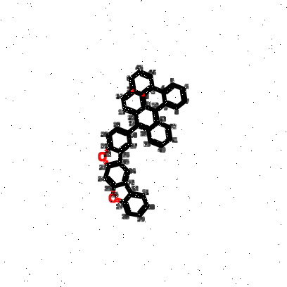 c1ccc(-c2ccccc2-c2c3ccccc3c(-c3ccc4oc5cc6oc7ccccc7c6cc5c4c3)c3ccccc23)cc1